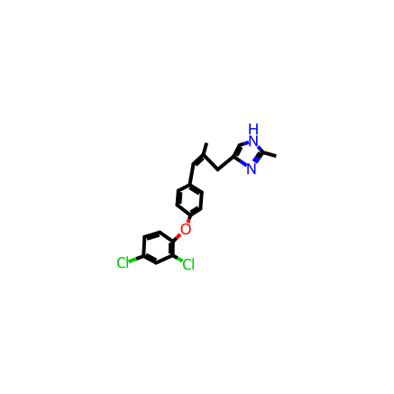 CC(=Cc1ccc(Oc2ccc(Cl)cc2Cl)cc1)Cc1c[nH]c(C)n1